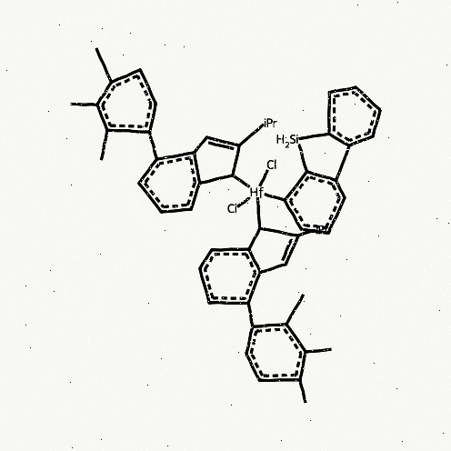 Cc1ccc(-c2cccc3c2C=C(C(C)C)[CH]3[Hf]([Cl])([Cl])([c]2cccc3c2[SiH2]c2ccccc2-3)[CH]2C(C(C)C)=Cc3c(-c4ccc(C)c(C)c4C)cccc32)c(C)c1C